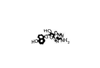 CO[C@@H]1[C@H](O)[C@@H](COC2CCCc3c(O)cccc32)O[C@H]1n1cnc2c(N)ncnc21